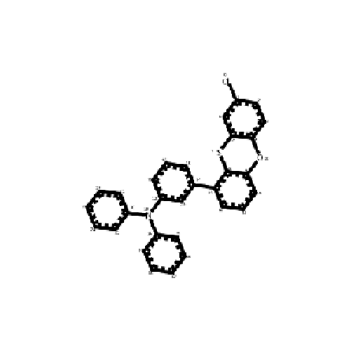 Clc1ccc2c(c1)Sc1c(cccc1-c1cccc(N(c3ccccc3)c3ccccc3)c1)O2